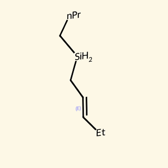 CC/C=C/C[SiH2]CCCC